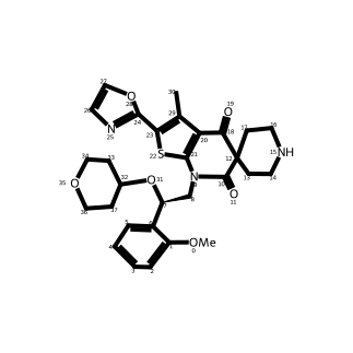 COc1ccccc1[C@H](CN1C(=O)C2(CCNCC2)C(=O)c2c1sc(-c1ncco1)c2C)OC1CCOCC1